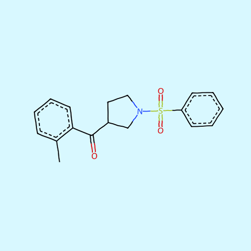 Cc1ccccc1C(=O)C1CCN(S(=O)(=O)c2ccccc2)C1